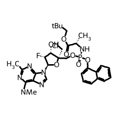 CNc1nc(C)nc2c1ncn2[C@@H]1O[C@](CCl)(CO[P@](=O)(N[C@@H](C)C(=O)OCC(C)(C)C)Oc2cccc3ccccc23)[C@@H](O)[C@H]1F